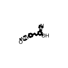 CC(=O)N1CCN(c2ccc(/C=C/c3cc(O)cc(-n4ccnc4)c3)cc2)CC1